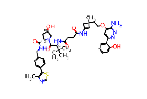 Cc1ncsc1-c1ccc(CNC(=O)[C@@H]2C[C@@H](O)CN2C(=O)[C@@H](NC(=O)CCC(=O)NC2=CC(C)(CCOc3cc(-c4ccccc4O)nnc3N)C2)C(C)(C)C)cc1